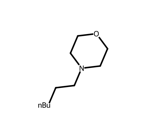 CCCCCCN1CCOCC1